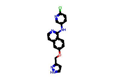 Clc1ccc(Nc2nccc3cc(OCc4cc[nH]n4)ccc23)cn1